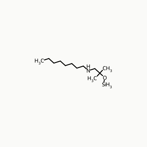 CCCCCCCCNCC(C)(C)O[SiH3]